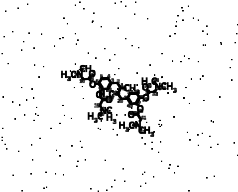 C[C@H](Cc1ccc(OC(=O)CN(C)C)c(OC(=O)CN(C)C)c1)[C@@H](C)Cc1ccc(OC(=O)CN(C)C)c(OC(=O)CN(C)C)c1